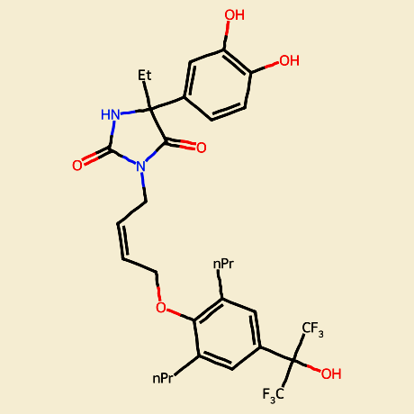 CCCc1cc(C(O)(C(F)(F)F)C(F)(F)F)cc(CCC)c1OC/C=C\CN1C(=O)NC(CC)(c2ccc(O)c(O)c2)C1=O